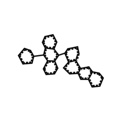 c1ccc(-c2c3ccccc3c(-c3cccc4c3ccc3cc5ccccc5cc34)c3ccccc23)cc1